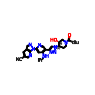 CC(C)Nc1cc(-n2ncc3cc(C#N)cnc32)ncc1-c1cn([C@@H]2CCN(C(=O)C(C)(C)C)C[C@H]2O)nn1